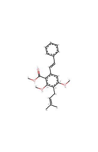 COC(=O)c1c(/C=C/c2ccccc2)cc(OC)c(CC=C(C)C)c1OC